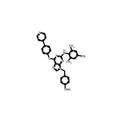 COc1ccc(Cn2cnc3c(Oc4ccc(-c5ccncc5)cc4)nc(Nc4c(C)cc(C#N)cc4C)nc32)cc1